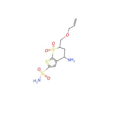 C=CCOCC1CC(N)c2cc(S(N)(=O)=O)sc2S1(=O)=O